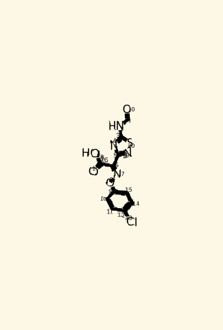 O=CNc1nc(C(=NOc2ccc(Cl)cc2)C(=O)O)ns1